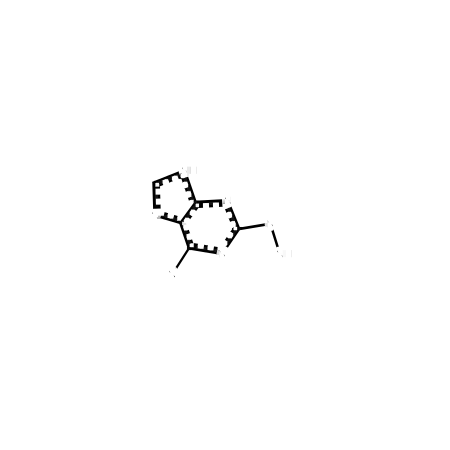 NNc1nc(N)c2nc[nH]c2n1